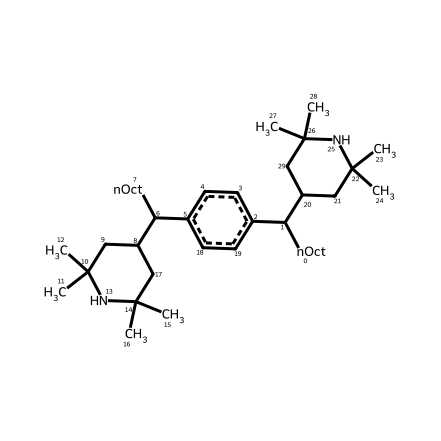 CCCCCCCCC(c1ccc(C(CCCCCCCC)C2CC(C)(C)NC(C)(C)C2)cc1)C1CC(C)(C)NC(C)(C)C1